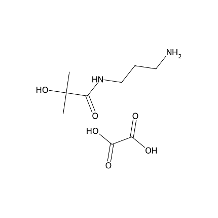 CC(C)(O)C(=O)NCCCN.O=C(O)C(=O)O